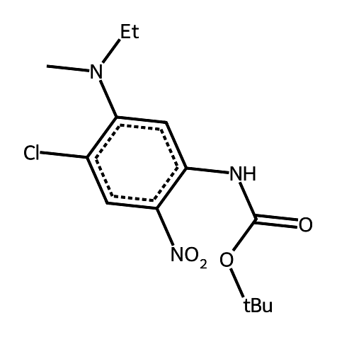 CCN(C)c1cc(NC(=O)OC(C)(C)C)c([N+](=O)[O-])cc1Cl